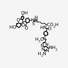 CN(Cc1cnc2nc(N)nc(N)c2n1)c1ccc(C(=O)N[C@@H](CCCCNC(=S)Nc2ccc3c(c2)C(=O)OC32c3ccc(O)cc3Oc3cc(O)ccc32)C(=O)O)cc1